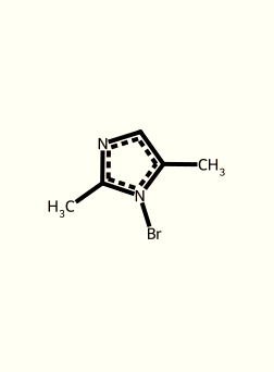 Cc1cnc(C)n1Br